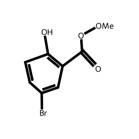 COOC(=O)c1cc(Br)ccc1O